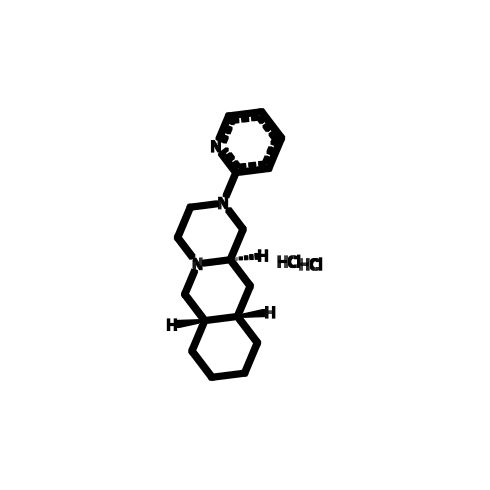 Cl.Cl.c1ccc(N2CCN3C[C@H]4CCCC[C@H]4C[C@@H]3C2)nc1